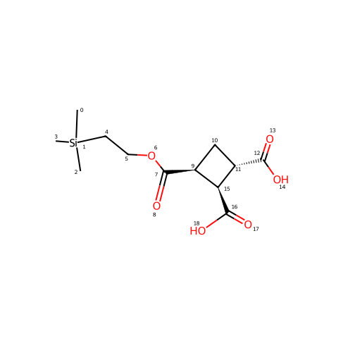 C[Si](C)(C)CCOC(=O)[C@H]1C[C@H](C(=O)O)[C@H]1C(=O)O